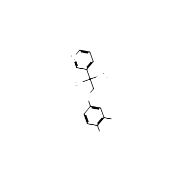 CCC(C#N)(COc1ccc(Cl)c(Cl)c1)c1cccnc1